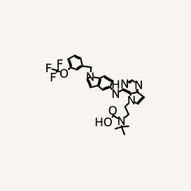 CC(C)(C)N(CCn1ccc2ncnc(Nc3ccc4c(ccn4Cc4cccc(OC(F)(F)F)c4)c3)c21)C(=O)O